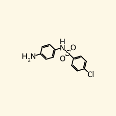 Nc1ccc(NS(=O)(=O)c2ccc(Cl)cc2)cc1